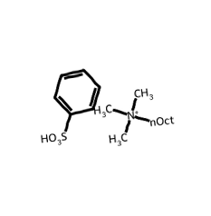 CCCCCCCC[N+](C)(C)C.O=S(=O)(O)c1ccccc1